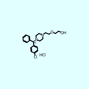 Cl.OCCOCCN1CCN([C@H](c2ccccc2)c2ccc(Cl)cc2)CC1